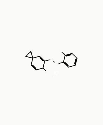 O=C(O)c1ccccc1OOC1=CC2(C=CC1C(=O)O)CC2